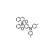 Cc1ccc(N(c2ccc(C)cc2)c2cc3c4c(c2)Oc2ccc5ccccc5c2B4c2ccccc2O3)cc1